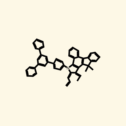 C=C/C=c1\c(=C/C)c2c3c(c4ccccc4c2n1-c1ccc(-c2cc(-c4ccccc4)cc(-c4ccccc4)c2)cc1)-c1ccccc1C3(C)C